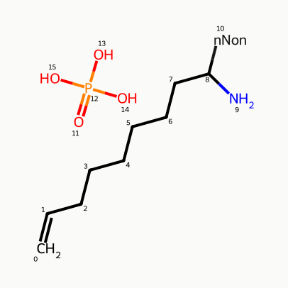 C=CCCCCCCC(N)CCCCCCCCC.O=P(O)(O)O